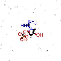 N=C(N)N1CCC(O)C1.O=S(=O)(O)O